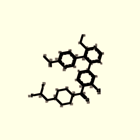 CCc1ncnc(-c2ccc(C(=O)N3CCN(CC(F)F)CC3)c(Cl)c2)c1-c1ccc(NC)nc1